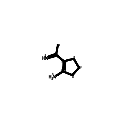 CC(=N)C1=C(N)CCC1